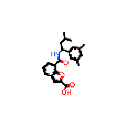 Cc1cc(C)cc(C(CC(C)C)NC(=O)c2cccc3cc(C(=O)O)oc23)c1